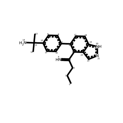 CCCC(=N)c1c(-c2ccc(C(C)(C)N)cc2)ccc2[nH]ncc12